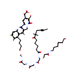 CC#CCC(C)(CC)C(=O)CCCCC(=O)N[C@@H](CCC(=O)NC[C@H](O)[C@@H](O)[C@H](O)[C@H](O)CO)C(=O)N[C@H](C(=O)N[C@@H](C)C(=O)NCOCCCCc1c(C)c(F)cc2nc3c(c(CC)c12)Cn1c-3cc2c(c1=O)COC(=O)[C@]2(O)CC)C(C)C